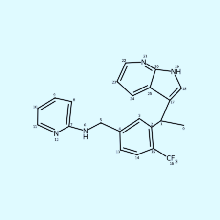 CC(c1cc(CNc2ccccn2)ccc1C(F)(F)F)c1c[nH]c2ncccc12